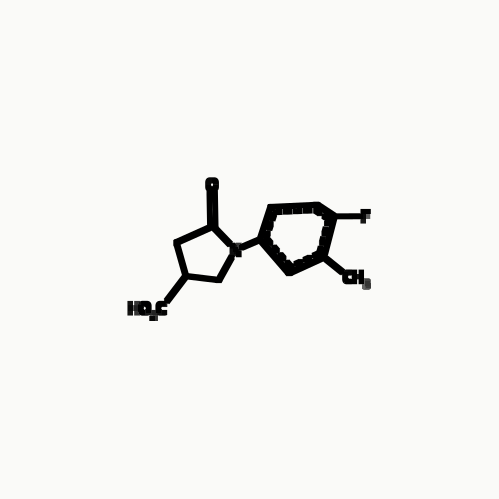 Cc1cc(N2CC(C(=O)O)CC2=O)ccc1F